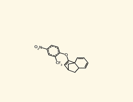 O=[N+]([O-])c1ccc(OC2=CC3CC4C=CC=CC24C3)c(C(F)(F)F)c1